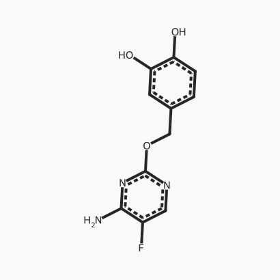 Nc1nc(OCc2ccc(O)c(O)c2)ncc1F